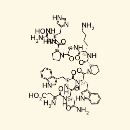 N=C(N)NCCC[C@H](NC(=O)[C@H](CCCCN)NC(=O)[C@@H]1CCCN1C(=O)[C@H](Cc1c[nH]c2ccccc12)NC(=O)[C@H](Cc1c[nH]c2ccccc12)NC(=O)[C@H](CC(N)=O)NC(=O)[C@@H](N)CC(=O)O)C(=O)N1CCC[C@H]1C(=O)N[C@@H](Cc1c[nH]cn1)C(=O)O